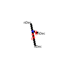 CCCCCCCCCCCCCCCCCCN(CCOCCOC(=O)CCCCCCCCCCCCCCCCC)CCOC(=O)CCCCCCCCCCC